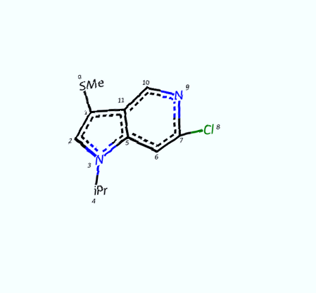 CSc1cn(C(C)C)c2cc(Cl)ncc12